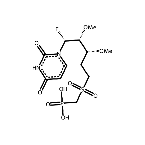 CO[C@@H]([C@@H](F)n1ccc(=O)[nH]c1=O)[C@@H](CCS(=O)(=O)CP(=O)(O)O)OC